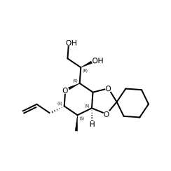 C=CC[C@@H]1O[C@@H]([C@H](O)CO)C2OC3(CCCCC3)O[C@H]2[C@H]1C